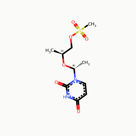 C[C@@H](COS(C)(=O)=O)O[C@H](C)n1ccc(=O)[nH]c1=O